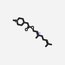 CC(C)=CCC/C(C)=C/COC(=O)CC1CCN(C)CC1